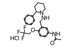 CC(=O)Nc1ccc(OCC(F)(F)F)c(CNN2CCCCC2c2ccccc2)c1.Cl